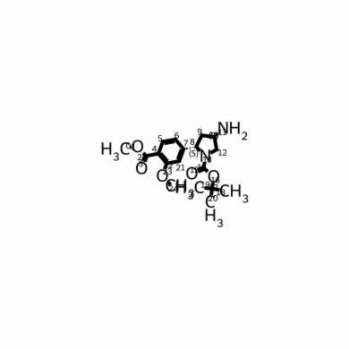 COC(=O)c1ccc([C@@H]2C[C@@H](N)CN2C(=O)OC(C)(C)C)cc1OC